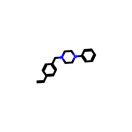 C=Cc1ccc(CN2CCN(c3ccccc3)CC2)cc1